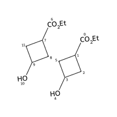 CCOC(=O)C1CC(O)C1.CCOC(=O)C1CC(O)C1